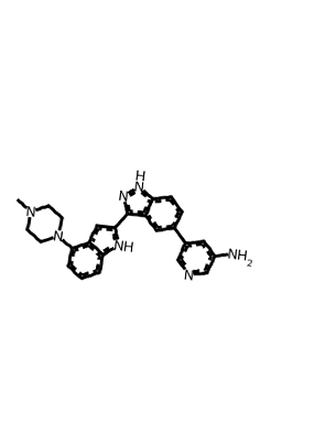 CN1CCN(c2cccc3[nH]c(-c4n[nH]c5ccc(-c6cncc(N)c6)cc45)cc23)CC1